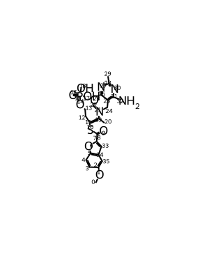 COc1ccc2oc(C(=O)SC(CCOP(=O)(O)O)=C(C)N(C=O)Cc3cnc(C)nc3N)cc2c1